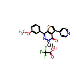 Cn1nc(-c2cccc(OC(F)(F)F)c2)c2scc(-c3ccncc3)c2c1=O.O=C(O)C(F)(F)F